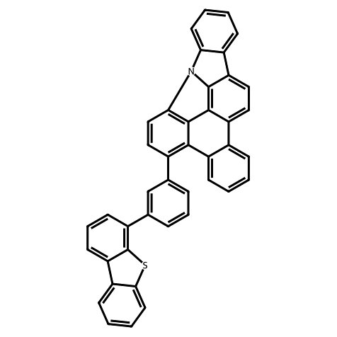 c1cc(-c2cccc3c2sc2ccccc23)cc(-c2ccc3c4c2c2ccccc2c2ccc5c6ccccc6n3c5c24)c1